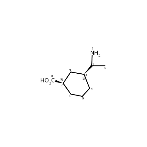 CC(N)[C@H]1CCC[C@@H](C(=O)O)C1